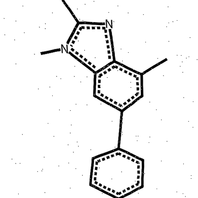 Cc1cc(-c2ccccc2)cc2c1nc(C)n2C